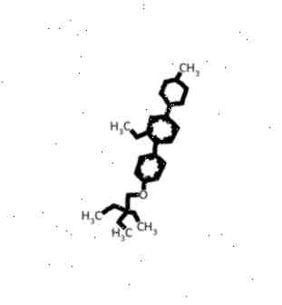 CCc1cc(C2CCC(C)CC2)ccc1-c1ccc(OCC(CC)(CC)CC)cc1